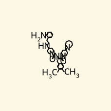 CCc1ccc(C[C@@H](NC(=O)N2CCC(NCCc3ccccc3N)CC2)C(=O)N2CCC(N3CCCCCC3)CC2)cc1CC